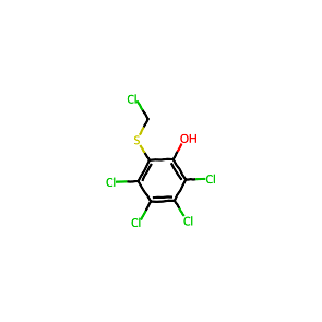 Oc1c(Cl)c(Cl)c(Cl)c(Cl)c1SCCl